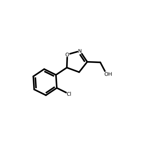 OCC1=NOC(c2ccccc2Cl)C1